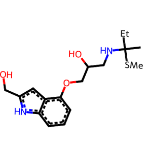 CCC(C)(NCC(O)COc1cccc2[nH]c(CO)cc12)SC